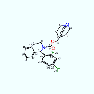 O=C(OCC12CCN(CC1)CC2)N1CCc2ccccc2[C@@H]1c1ccc(F)cc1F